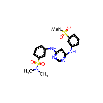 CNS(=O)(=O)c1cccc(Nc2cc(Nc3cccc(S(=O)(=O)N(C)C)c3)ncn2)c1